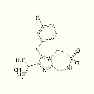 C.CC(C)c1nc2n(c1Sc1cccc(Cl)c1)CCS(=O)(=O)NC2